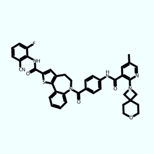 Cc1cnc(N2CC3(CCOCC3)C2)c(C(=O)Nc2ccc(C(=O)N3CCc4cc(C(=O)Nc5c(F)cccc5C#N)sc4-c4ccccc43)cc2)c1